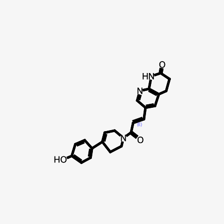 O=C1CCc2cc(/C=C/C(=O)N3CC=C(c4ccc(O)cc4)CC3)cnc2N1